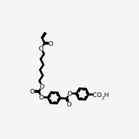 C=CC(=O)OCCCCCCOC(=O)Oc1ccc(C(=O)Oc2ccc(C(=O)O)cc2)cc1